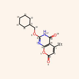 CCc1cc(=O)oc2nc(OCC3CCCCC3)[nH]c(=O)c12